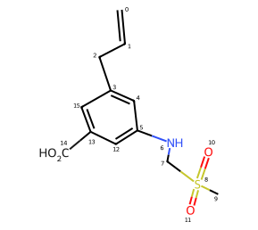 C=CCc1cc(NCS(C)(=O)=O)cc(C(=O)O)c1